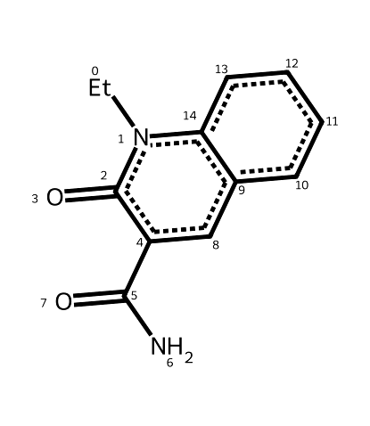 CCn1c(=O)c(C(N)=O)cc2ccccc21